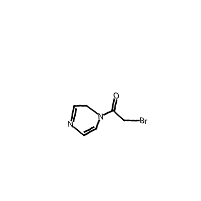 O=C(CBr)N1C=CN=CC1